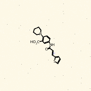 O=C(/C=C/c1cccs1)Nc1ccc(N2CCCCC2)c(C(=O)O)c1